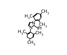 CC1=C[C@@H](C)CC(C)=C1N1C=CN(c2c(C)cc(C)cc2C)C1C(C)C